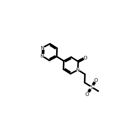 CS(=O)(=O)CCn1ccc(-c2ccnnc2)cc1=O